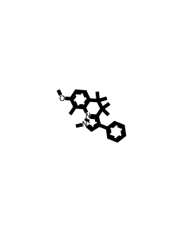 COc1ccc2c(c1C)-n1c(c(-c3ccccc3)c[n+]1C)C(C)(C)C2(C)C